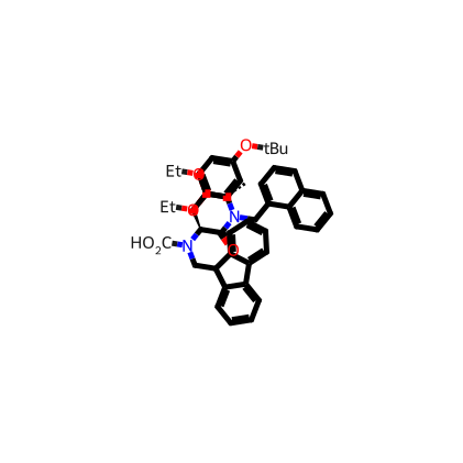 CCOC(OCC)[C@H](C)N(Cc1cccc2ccccc12)C(=O)[C@H](Cc1ccc(OC(C)(C)C)cc1)N(CC1c2ccccc2-c2ccccc21)C(=O)O